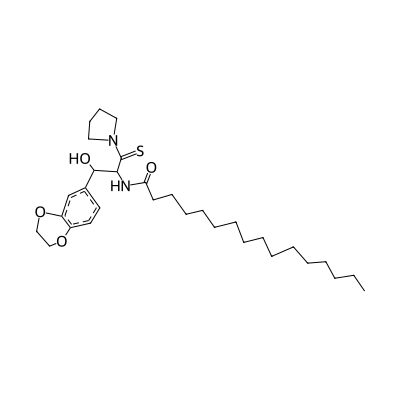 CCCCCCCCCCCCCCCC(=O)NC(C(=S)N1CCCC1)C(O)c1ccc2c(c1)OCCO2